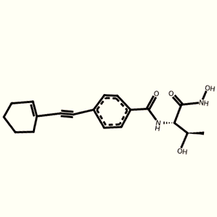 C[C@@H](O)[C@H](NC(=O)c1ccc(C#CC2=CCCCC2)cc1)C(=O)NO